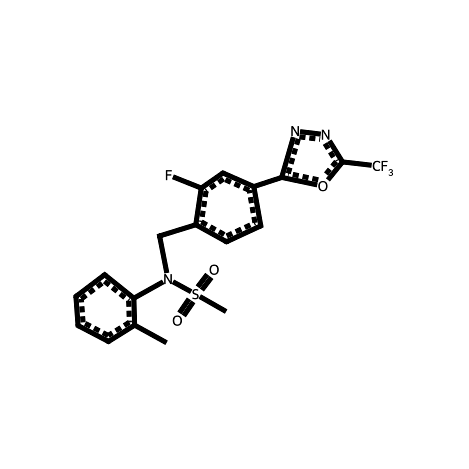 Cc1ccccc1N(Cc1ccc(-c2nnc(C(F)(F)F)o2)cc1F)S(C)(=O)=O